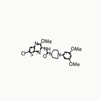 COc1cc(OC)cc(N2CCN(C(=O)Nc3nc4sc(Cl)cc4nc3OC)CC2)c1